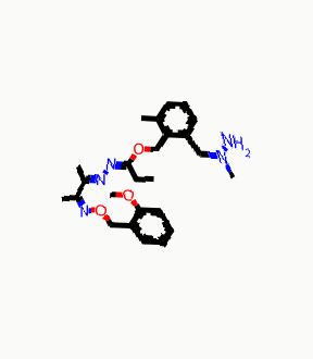 CCC(=NN=C(C)C(C)=NOCc1ccccc1OC)OCc1c(C)cccc1CN(C)N